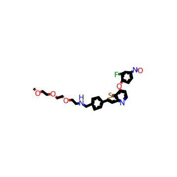 COCCOCCOCCNCc1ccc(-c2cc3nccc(Oc4ccc(N=O)cc4F)c3s2)cc1